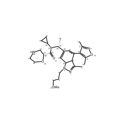 COCCCN1N=C(C)C2C(c3c(C)noc3C)=CC([C@@H](C)N(C(=O)[C@H]3CNCCO3)C3CC3)=CC21